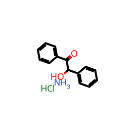 Cl.N.O=C(c1ccccc1)C(O)c1ccccc1